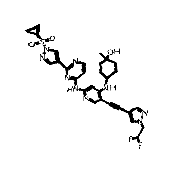 CC1(O)CCC(Nc2cc(Nc3ccnc(-c4cnn(S(=O)(=O)C5CC5)c4)n3)ncc2C#Cc2cnn(CC(F)F)c2)CC1